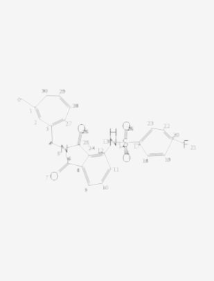 CC1=CC(CN2C(=O)c3cccc(NS(=O)(=O)c4ccc(F)cc4)c3C2=O)=CC=CC1